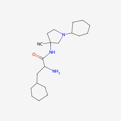 N#CC1(NC(=O)C(N)CC2CCCCC2)CCN(C2CCCCC2)C1